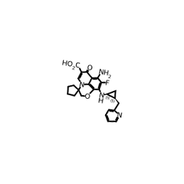 Nc1c(F)c(N[C@H]2C[C@H]2Cc2ccccn2)c2c3c1c(=O)c(C(=O)O)cn3C1(CCCC1)CO2